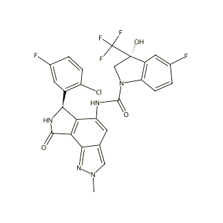 Cn1cc2cc(NC(=O)N3C[C@@](O)(C(F)(F)F)c4cc(F)ccc43)c3c(c2n1)C(=O)N[C@H]3c1cc(F)ccc1Cl